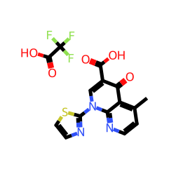 Cc1ccnc2c1c(=O)c(C(=O)O)cn2-c1nccs1.O=C(O)C(F)(F)F